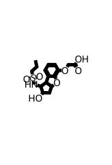 CCCS(=O)(=O)NC1C(O)CC2Oc3c(OCC(=O)O)cccc3C21